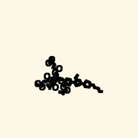 C=C(C)C(=O)OCC(COC(=O)/C=C/C(=O)OC)(COC(=O)/C=C/C(=O)OC)COc1ccc(-c2ccc(C3CCC(CCCCC)CC3)cc2CC)cc1OC(=O)C(=C)C